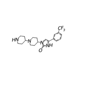 O=c1[nH]c(-c2cccc(C(F)(F)F)c2)cn1C1CCN(C2CCNCC2)CC1